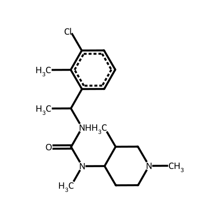 Cc1c(Cl)cccc1C(C)NC(=O)N(C)C1CCN(C)CC1C